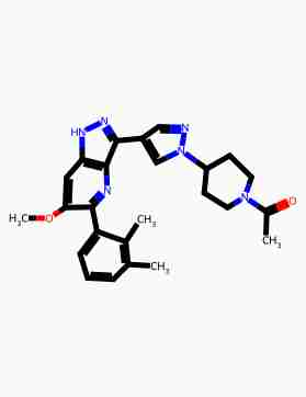 COc1cc2[nH]nc(-c3cnn(C4CCN(C(C)=O)CC4)c3)c2nc1-c1cccc(C)c1C